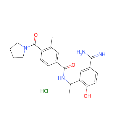 Cc1cc(C(=O)NC(C)c2cc(C(=N)N)ccc2O)ccc1C(=O)N1CCCC1.Cl